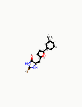 O=C1NC(=S)N/C1=C/c1ccc(-c2cccc([N+](=O)[O-])c2)o1